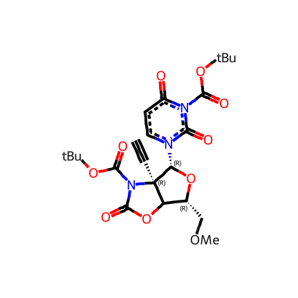 C#C[C@]12C(OC(=O)N1C(=O)OC(C)(C)C)[C@@H](COC)O[C@H]2n1ccc(=O)n(C(=O)OC(C)(C)C)c1=O